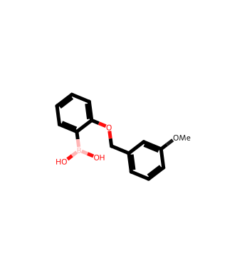 COc1cccc(COc2ccccc2B(O)O)c1